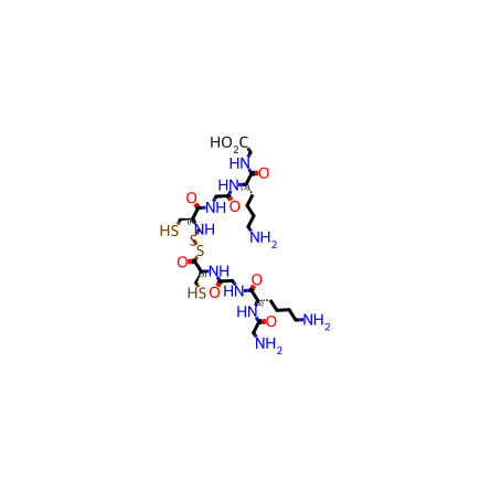 NCCCC[C@H](NC(=O)CN)C(=O)NCC(=O)N[C@@H](CS)C(=O)SSN[C@@H](CS)C(=O)NCC(=O)N[C@@H](CCCCN)C(=O)NCC(=O)O